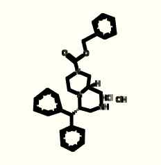 Cl.Cl.O=C(OCc1ccccc1)N1CCN2[C@@H](CNC[C@@H]2C(c2ccccc2)c2ccccc2)C1